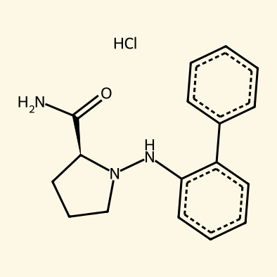 Cl.NC(=O)[C@@H]1CCCN1Nc1ccccc1-c1ccccc1